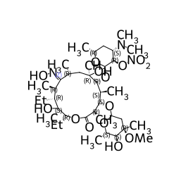 CC[C@@H]1[C@@H](C)/C(=N\O)[C@H](C)C[C@@](C)(O)[C@H](OC2O[C@H](C)C[C@H](N(C)C)[C@H]2O[N+](=O)[O-])[C@@H](C)[C@H](OC2C[C@@](C)(OC)[C@@H](O)[C@H](C)O2)[C@@H](C)C(=O)O[C@H](CC)[C@@]1(C)O